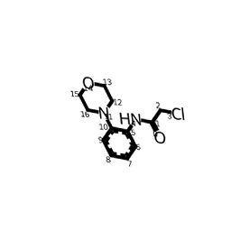 O=C(CCl)Nc1ccccc1N1CCOCC1